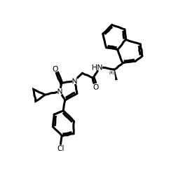 C[C@@H](NC(=O)Cn1cc(-c2ccc(Cl)cc2)n(C2CC2)c1=O)c1cccc2ccccc12